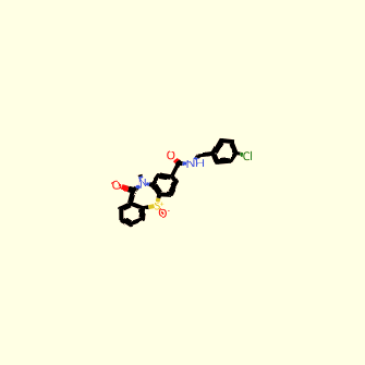 CN1C(=O)c2ccccc2[S@@+]([O-])c2ccc(C(=O)NCc3ccc(Cl)cc3)cc21